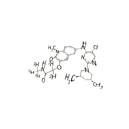 [2H]C([2H])([2H])NC(=O)C([2H])([2H])Oc1cc2cc(Nc3nc(N4C[C@H](C)C[C@H](C)C4)ncc3Cl)ccc2n(C)c1=O